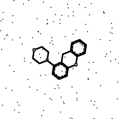 c1ccc2c(c1)Cc1c(cccc1N1CCOCC1)O2